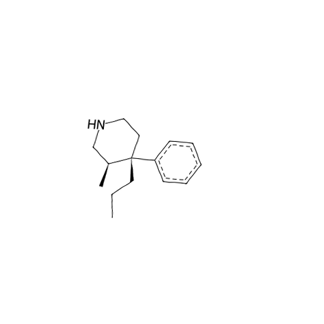 CCC[C@]1(c2ccccc2)CCNC[C@@H]1C